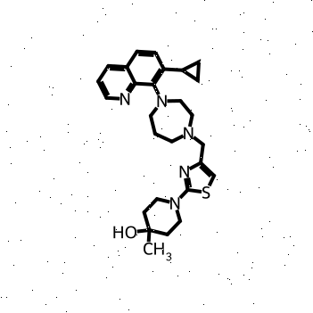 CC1(O)CCN(c2nc(CN3CCCN(c4c(C5CC5)ccc5cccnc45)CC3)cs2)CC1